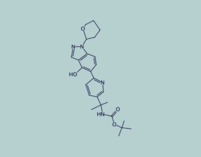 CC(C)(C)OC(=O)NC(C)(C)c1ccc(-c2ccc3c(cnn3C3CCCCO3)c2O)nc1